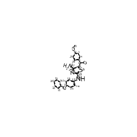 COc1ccc(C(=O)c2sc(Nc3ccc(Oc4ccccc4)cc3)nc2N)cc1